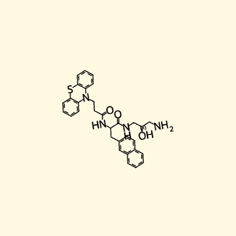 NC[C@@H](O)CNC(=O)C(Cc1ccc2ccccc2c1)NC(=O)CCN1c2ccccc2Sc2ccccc21